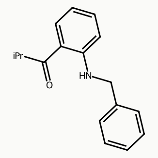 CC(C)C(=O)c1ccccc1NCc1ccccc1